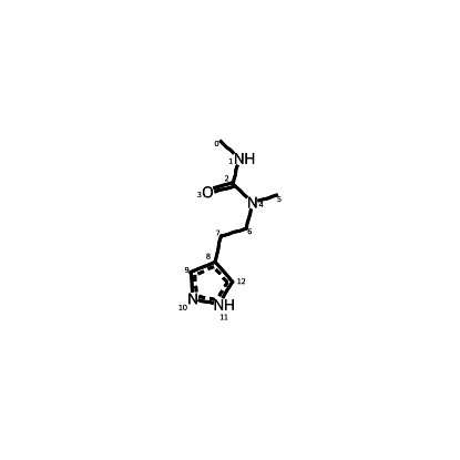 CNC(=O)N(C)CCc1cn[nH]c1